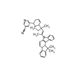 CCC(C)(/C=C(\C)n1c2c(c3ccccc31)C1C(C=C2)c2ccccc2C1(C)C)C1C=CCC(c2cncc(C#N)c2)C1